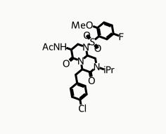 COc1ccc(F)cc1S(=O)(=O)N1CC(NC(C)=O)C(=O)N2C(Cc3ccc(Cl)cc3)C(=O)N(C(C)C)CC21